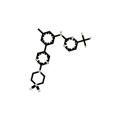 Cc1cc(Nc2nccc(C(F)(F)F)n2)cc(-c2cnc(N3CCS(=O)(=O)CC3)nc2)c1